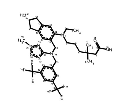 CCN(CCCC(C)(C)CC(=O)O)c1cc2c(cc1CN(Cc1cc(C(F)(F)F)cc(C(F)(F)F)c1)c1nnn(C)n1)CCC2.Cl